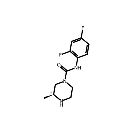 C[C@H]1CN(C(=O)Nc2ccc(F)cc2F)CCN1